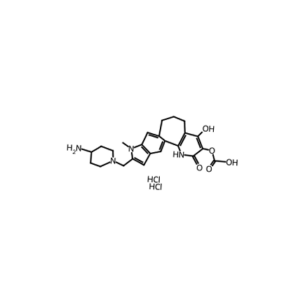 Cl.Cl.Cn1c(CN2CCC(N)CC2)cc2cc3c(cc21)CCCc1c-3[nH]c(=O)c(OC(=O)O)c1O